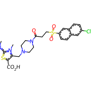 CN=c1sc(C(=O)O)c(CN2CCN(C(=O)CCS(=O)(=O)c3ccc4cc(Cl)ccc4c3)CC2)n1C